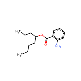 CCCCC(CCC)OC(=O)c1ccccc1N